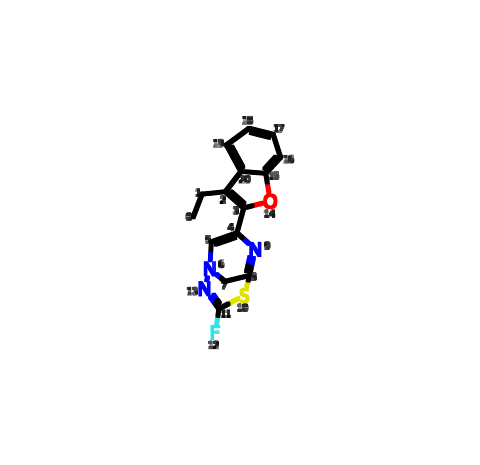 CCc1c(C2=CN3CC(=N2)SC(F)=N3)oc2ccccc12